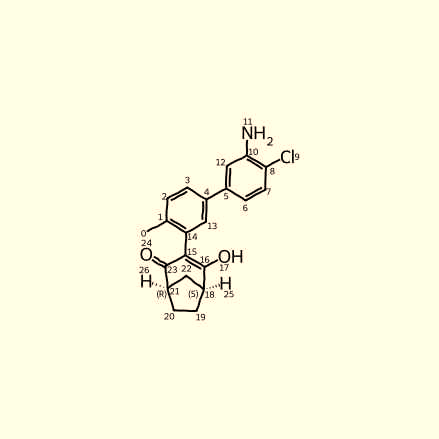 Cc1ccc(-c2ccc(Cl)c(N)c2)cc1C1=C(O)[C@H]2CC[C@H](C2)C1=O